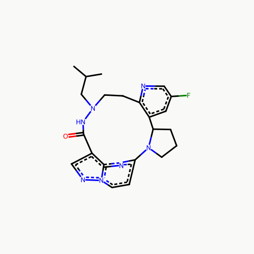 CC(C)CN1CCc2ncc(F)cc2C2CCCN2c2ccn3ncc(c3n2)C(=O)N1